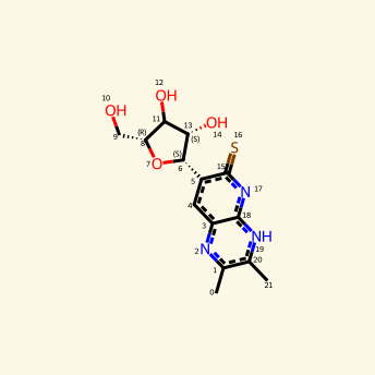 Cc1nc2cc([C@@H]3O[C@H](CO)C(O)[C@@H]3O)c(=S)nc-2[nH]c1C